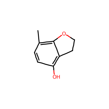 Cc1ccc(O)c2c1OCC2